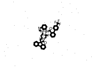 O=C(Nc1cccc2ncn(CCCCC3(C(=O)NCC(F)(F)F)c4ccccc4-c4ccccc43)c12)c1ccccc1-c1ccc(C(F)(F)F)cc1